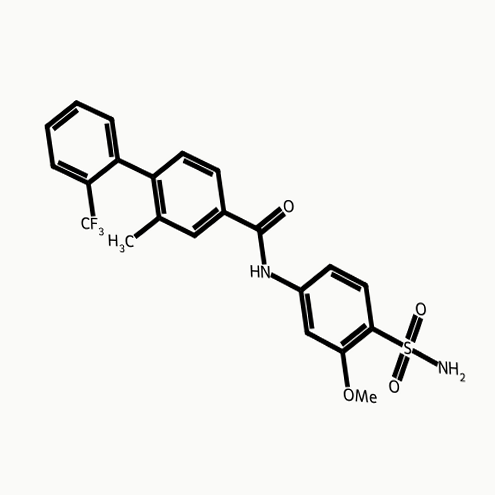 COc1cc(NC(=O)c2ccc(-c3ccccc3C(F)(F)F)c(C)c2)ccc1S(N)(=O)=O